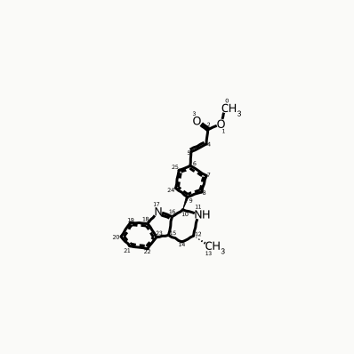 COC(=O)C=Cc1ccc([C@H]2N[C@H](C)CC3C2=Nc2ccccc23)cc1